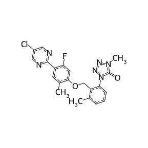 Cc1cc(-c2ncc(Cl)cn2)c(F)cc1OCc1c(C)cccc1-n1nnn(C)c1=O